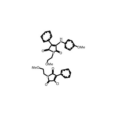 COCCN1C(=O)C(Cl)=C(c2ccccc2)C1=O.COCCN1C(=O)C(Nc2ccc(OC)cc2)=C(c2ccccc2)C1=O